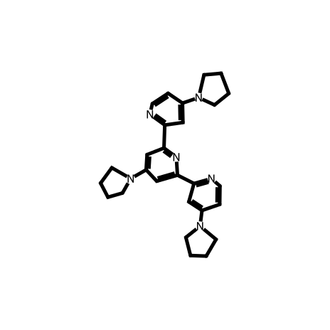 c1cc(N2CCCC2)cc(-c2cc(N3CCCC3)cc(-c3cc(N4CCCC4)ccn3)n2)n1